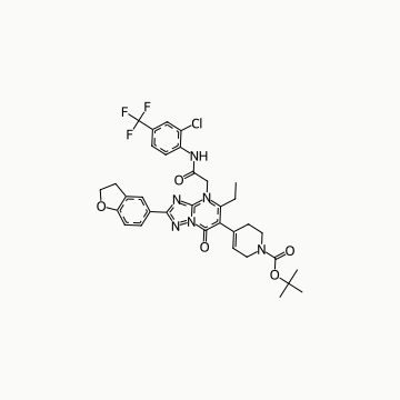 CCc1c(C2=CCN(C(=O)OC(C)(C)C)CC2)c(=O)n2nc(-c3ccc4c(c3)CCO4)nc2n1CC(=O)Nc1ccc(C(F)(F)F)cc1Cl